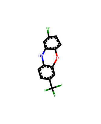 FC(F)(F)c1ccc2c(c1)Oc1ccc(Br)cc1N2